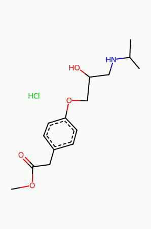 COC(=O)Cc1ccc(OCC(O)CNC(C)C)cc1.Cl